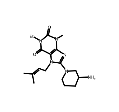 CCn1c(=O)c2c(nc(N3CCCC(N)C3)n2CC=C(C)C)n(C)c1=O